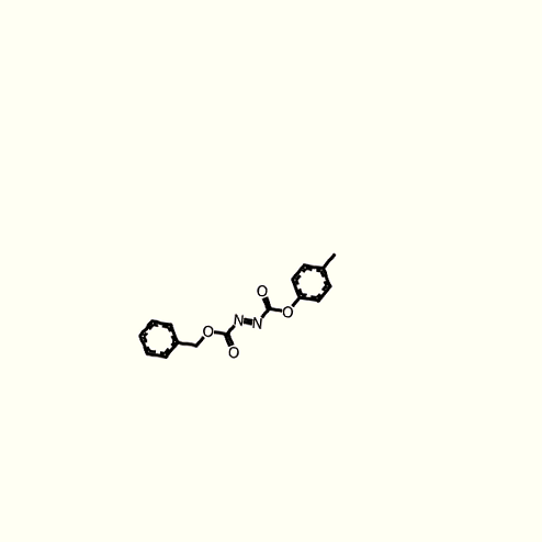 Cc1ccc(OC(=O)/N=N/C(=O)OCc2ccccc2)cc1